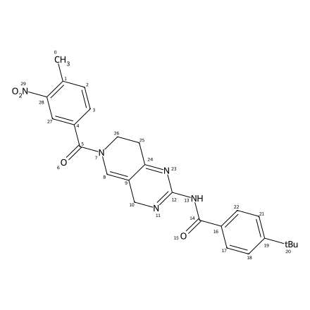 Cc1ccc(C(=O)N2C=C3CN=C(NC(=O)c4ccc(C(C)(C)C)cc4)N=C3CC2)cc1[N+](=O)[O-]